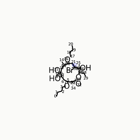 CCCCO[C@H]1C[C@@H](O)[C@](C)(O)C[C@@H](C)[C@H](OCCCC)/C=C(\Br)[C@](C)(O)[C@@H](CC)OC(=O)[C@@H]1C